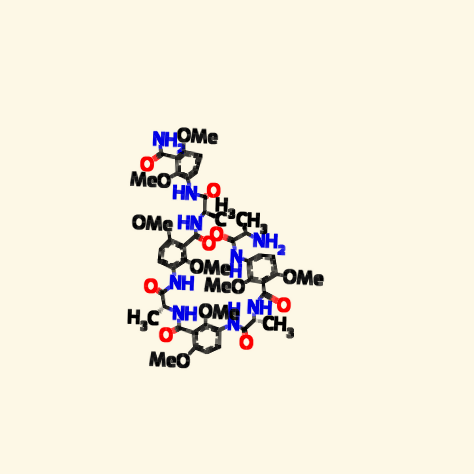 COc1ccc(NC(=O)[C@@H](C)NC(=O)c2c(OC)ccc(NC(=O)[C@@H](C)NC(=O)c3c(OC)ccc(NC(=O)[C@@H](C)NC(=O)c4c(OC)ccc(NC(=O)[C@@H](C)N)c4OC)c3OC)c2OC)c(OC)c1C(N)=O